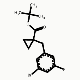 CC(C)(C)OC(=O)C1(Cc2cc(F)cc(Br)c2)CC1